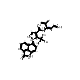 C=C(C)/C(=C\C=N)NC(=O)c1cnn(-c2ccc3c4c(cccc24)C(=O)N3)c1C(F)(F)F